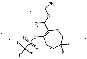 CCOC(=O)C1=C(OS(=O)(=O)C(F)(F)F)CCC(F)(F)CC1